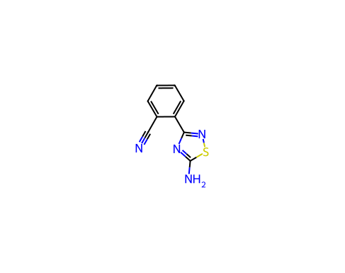 N#Cc1ccccc1-c1nsc(N)n1